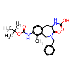 Cc1c(NC(=O)OC(C)(C)C)ccc2c1CN(Cc1ccccc1)C(=O)C(NC(=O)O)C2